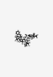 C=C[C@@H]1C[C@]1(NC(=O)[C@@H]1C[C@@]2(CN1C(=O)[C@@H](NC(=O)[C@@H](NC(=O)[C@@H]1CCCCN1CC)C(C)(C)C)C(C)(C)C)C(C)(C)C21CCC1)C(=O)NS(=O)(=O)C1CC1